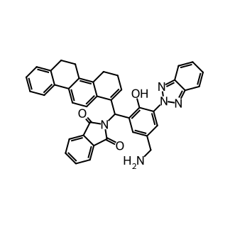 NCc1cc(C(C2=CCCc3c2ccc2c3CCc3ccccc3-2)N2C(=O)c3ccccc3C2=O)c(O)c(-n2nc3ccccc3n2)c1